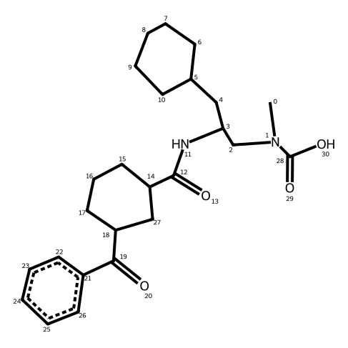 CN(CC(CC1CCCCC1)NC(=O)C1CCCC(C(=O)c2ccccc2)C1)C(=O)O